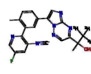 [2H]C([2H])([2H])C(C)(O)c1cnn2c(-c3ccc(C)c(-c4ncc(F)cc4[N+]#[C-])c3)cnc2n1